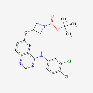 CC(C)(C)OC(=O)N1CC(Oc2ccc3ncnc(Nc4ccc(Cl)c(Cl)c4)c3n2)C1